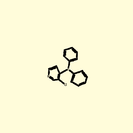 Clc1cnccc1P(c1ccccc1)c1ccccc1